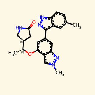 Cc1ccc2[nH]nc(-c3cc(O[C@H](C)[C@H]4CNC(=O)C4)c4cn(C)nc4c3)c2c1